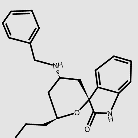 CCC[C@H]1C[C@H](NCc2ccccc2)C[C@]2(O1)C(=O)Nc1ccccc12